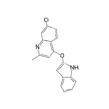 Cc1cc(Oc2cc3ccccc3[nH]2)c2ccc(Cl)cc2n1